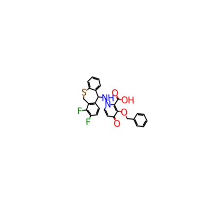 O=C(O)c1c(OCc2ccccc2)c(=O)ccn1NC1c2ccccc2SCc2c1ccc(F)c2F